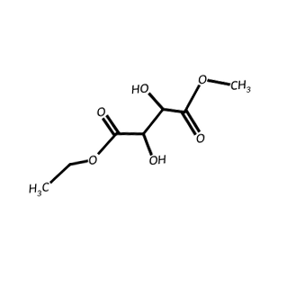 CCOC(=O)C(O)C(O)C(=O)OC